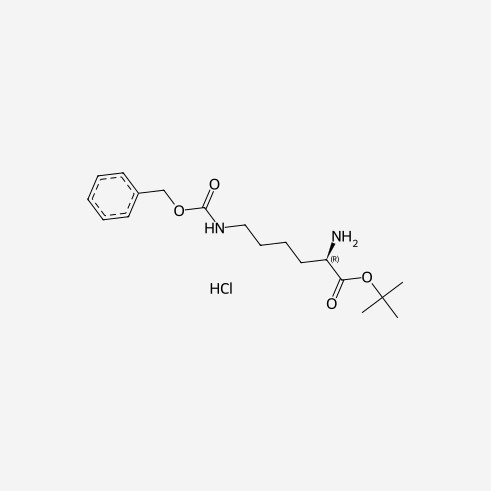 CC(C)(C)OC(=O)[C@H](N)CCCCNC(=O)OCc1ccccc1.Cl